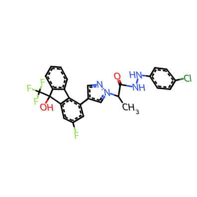 CC(C(=O)NNc1ccc(Cl)cc1)n1cc(-c2cc(F)cc3c2-c2ccccc2C3(O)C(F)(F)F)cn1